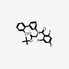 CC(C)(C)OC(=O)CN(C(=O)c1c(F)cc(F)cc1F)c1cccc(-c2ccccc2Cl)c1